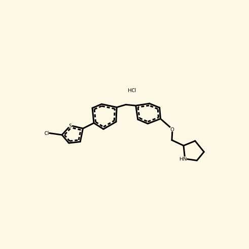 Cl.Clc1ccc(-c2ccc(Cc3ccc(OCC4CCCN4)cc3)cc2)s1